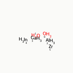 O.O.[AlH3].[GaH3].[InH3].[Zr]